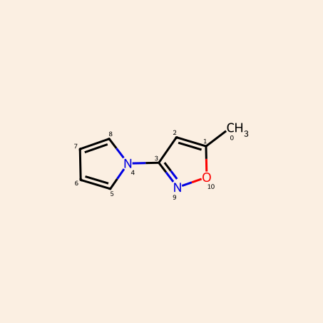 Cc1cc(-n2cccc2)no1